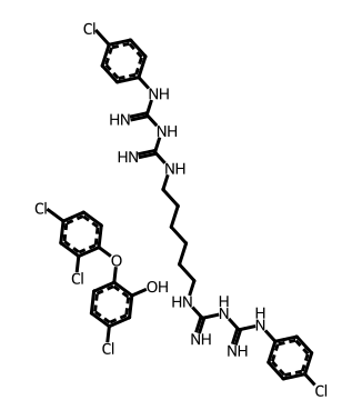 N=C(NCCCCCCNC(=N)NC(=N)Nc1ccc(Cl)cc1)NC(=N)Nc1ccc(Cl)cc1.Oc1cc(Cl)ccc1Oc1ccc(Cl)cc1Cl